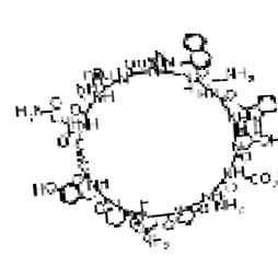 CCCC[C@H]1C(=O)N[C@@H](CN)C(=O)N[C@H](C(=O)NCC(N)=O)CSCC(=O)N[C@@H](Cc2ccc(O)cc2)C(=O)N2CCCC[C@H]2C(=O)N[C@@H](CC(N)=O)C(=O)N2CCC[C@H]2C(=O)N[C@@H](CN)C(=O)N[C@@H](CCC(=O)O)C(=O)N2C[C@H](O)C[C@H]2C(=O)N[C@@H](Cc2c[nH]c3ccccc23)C(=O)N[C@@H](CCN)C(=O)N[C@@H](Cc2cccc3ccccc23)c2nnnn2[C@@H](CCCC)C(=O)N1C